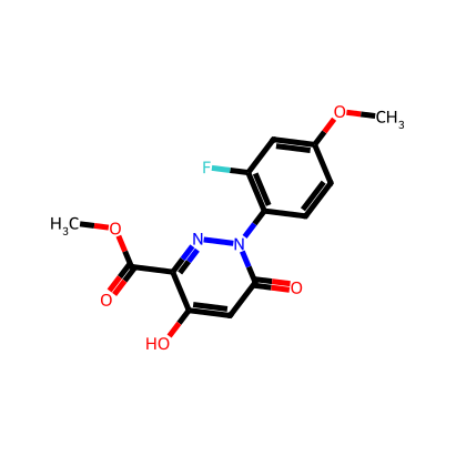 COC(=O)c1nn(-c2ccc(OC)cc2F)c(=O)cc1O